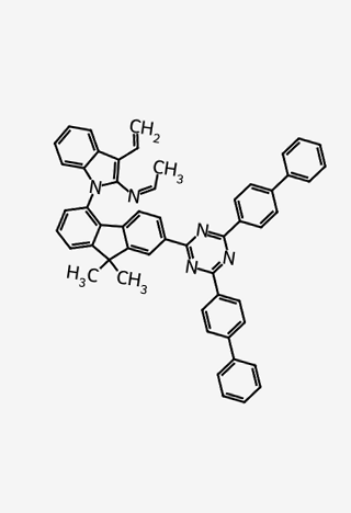 C=Cc1c(/N=C\C)n(-c2cccc3c2-c2ccc(-c4nc(-c5ccc(-c6ccccc6)cc5)nc(-c5ccc(-c6ccccc6)cc5)n4)cc2C3(C)C)c2ccccc12